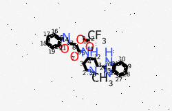 CN1CC[C@@H](NC(=O)C(OC(=O)C(F)(F)F)c2nc3ccccc3o2)C[C@@H]1c1nc2ccccc2[nH]1